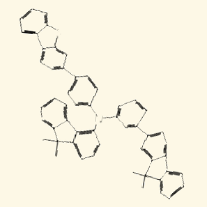 CC1(C)c2ccccc2-c2ccc(-c3cccc(N(c4ccc(-c5ccc6c(c5)sc5ccccc56)cc4)c4cccc5c4-c4ccccc4C5(C)C)c3)cc21